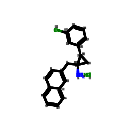 Cl.N[C@]1(Cc2ccc3ccccc3c2)C[C@@H]1c1cccc(Cl)c1